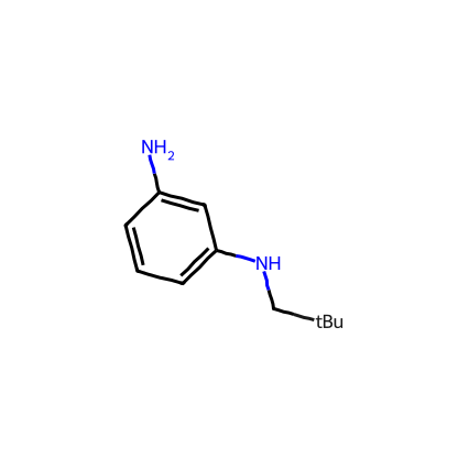 CC(C)(C)CNc1cccc(N)c1